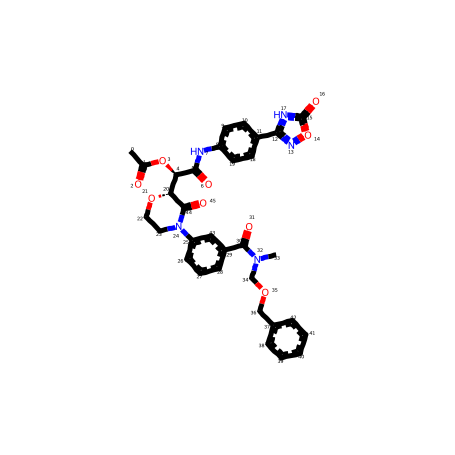 CC(=O)O[C@@H](C(=O)Nc1ccc(-c2noc(=O)[nH]2)cc1)[C@H]1OCCN(c2cccc(C(=O)N(C)COCc3ccccc3)c2)C1=O